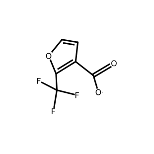 [O]C(=O)c1ccoc1C(F)(F)F